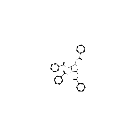 C[C@]1(OC(=O)c2ccccc2)C(OC(=O)c2ccccc2)OC(OC(=O)c2ccccc2)[C@H]1OC(=O)c1ccccc1